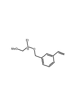 C=Cc1cccc(CO[SiH](CC)COC)c1